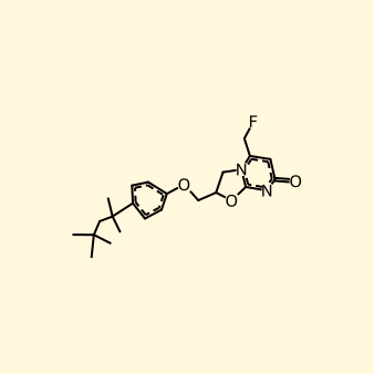 CC(C)(C)CC(C)(C)c1ccc(OCC2Cn3c(CF)cc(=O)nc3O2)cc1